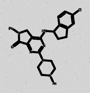 CC(=O)N1CCN(c2nc(NC3CCc4cc(Cl)ccc43)c3c(n2)C(=O)N(C(C)C)C3)CC1